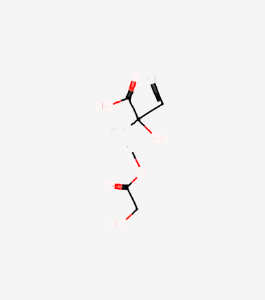 C=CC(C)(O)C(=O)O.COC(=O)CO